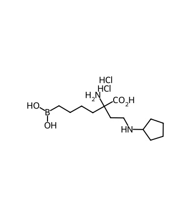 Cl.Cl.NC(CCCCB(O)O)(CCNC1CCCC1)C(=O)O